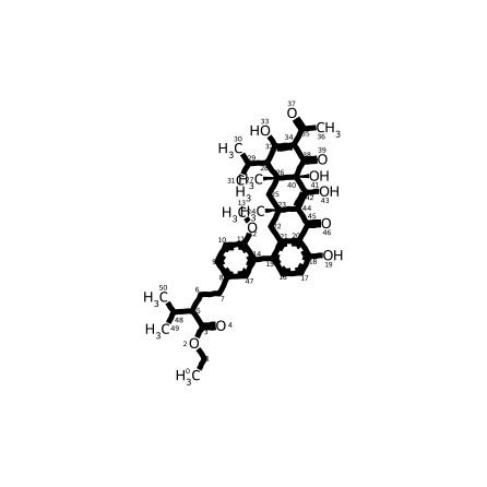 CCOC(=O)C(CCc1ccc(OC)c(-c2ccc(O)c3c2C[C@]2(C)C[C@]4(C)C(C(C)C)C(O)=C(C(C)=O)C(=O)[C@]4(O)C(O)=C2C3=O)c1)C(C)C